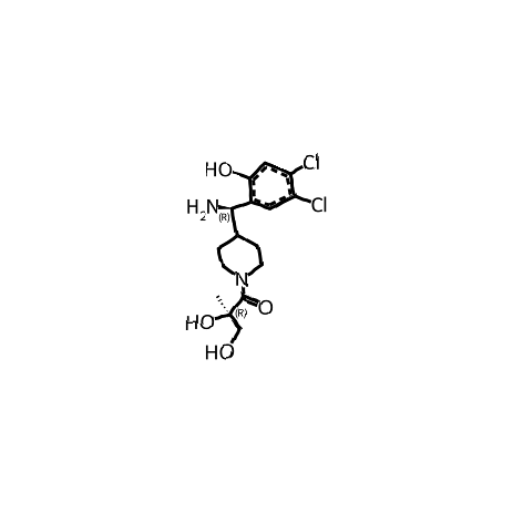 C[C@@](O)(CO)C(=O)N1CCC([C@@H](N)c2cc(Cl)c(Cl)cc2O)CC1